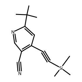 CC(C)(C)c1cc(C#C[Si](C)(C)C)c(C#N)cn1